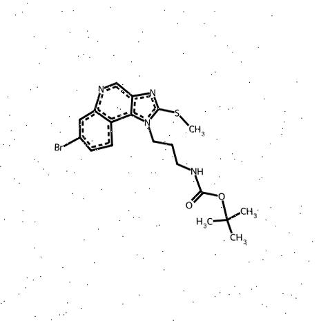 CSc1nc2cnc3cc(Br)ccc3c2n1CCCNC(=O)OC(C)(C)C